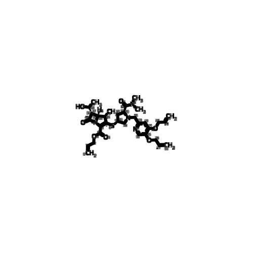 C=CCOC(=O)C1=C(S[C@H]2C[C@@H](C(=O)N(C)C)N(Cc3cc(OCC=C)c(OCC=C)cn3)C2)[C@H](C)[C@@H]2[C@@H](C(C)O)C(=O)N12